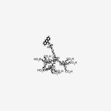 O=C(O)CCOCC(COCCC(=O)O)(COCCC(=O)O)NC(=O)CCOCC(COCCC(=O)NC(COCCC(=O)O)(COCCC(=O)O)COCCC(=O)O)(COCCC(=O)NC(COCCC(=O)O)(COCCC(=O)O)OCCC(=O)O)NC(=O)COCCOCCNC(=O)OCc1c2ccccc2cc2ccccc12